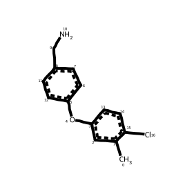 Cc1cc(Oc2ccc(CN)cc2)ccc1Cl